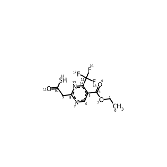 CCOC(=O)c1cnc(CC(=O)S)nc1C(F)(F)F